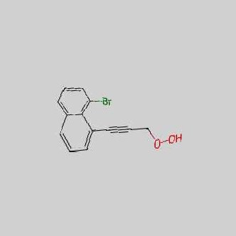 OOCC#Cc1cccc2cccc(Br)c12